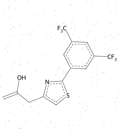 C=C(O)Cc1csc(-c2cc(C(F)(F)F)cc(C(F)(F)F)c2)n1